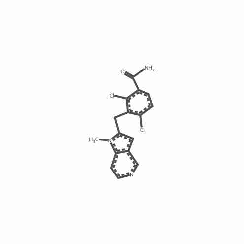 Cn1c(Cc2c(Cl)ccc(C(N)=O)c2Cl)cc2cnccc21